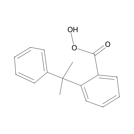 CC(C)(c1ccccc1)c1ccccc1C(=O)OO